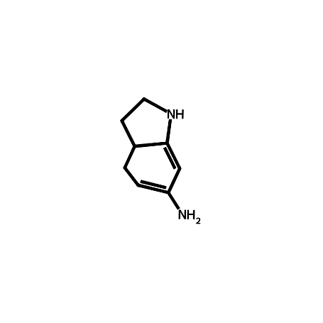 NC1=CCC2CCNC2=C1